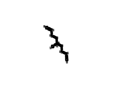 O=PSC[S+]([O-])CSP=O